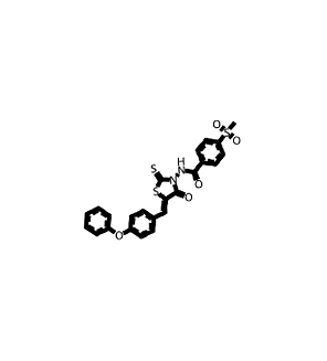 CS(=O)(=O)c1ccc(C(=O)NN2C(=O)C(=Cc3ccc(Oc4ccccc4)cc3)SC2=S)cc1